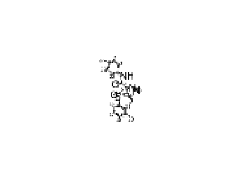 Cc1ccc(NC(=O)c2nnsc2[S+]([O-])c2cccc(C)c2)cc1